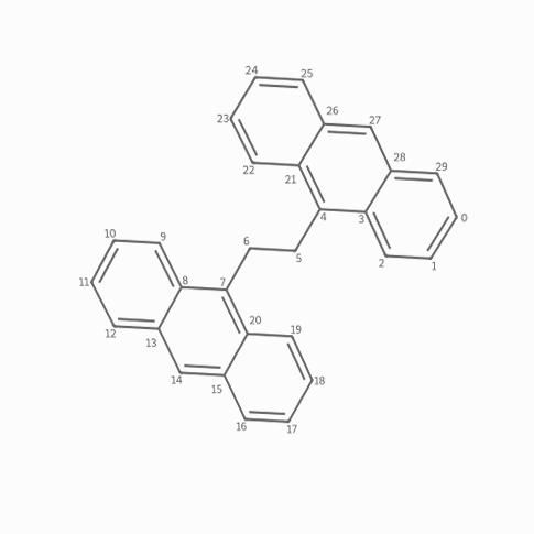 c1ccc2c(CCc3c4ccccc4cc4ccccc34)c3ccccc3cc2c1